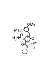 COc1cc(CN2C[C@@H](CC(N)=O)N(C(=O)N(C)C3CCCCC3)[C@@H](CC(C)C)C2=O)cc(OC)c1